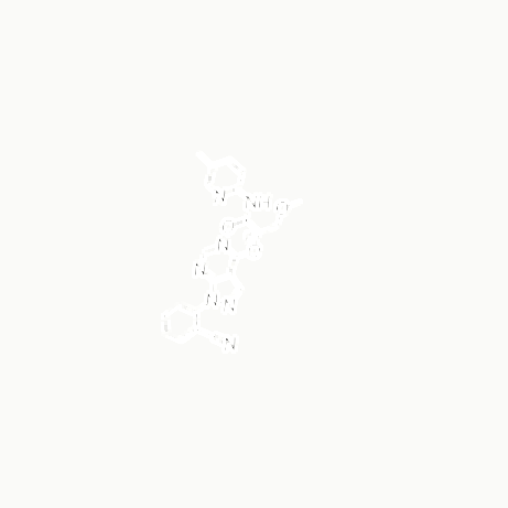 COC[C@H](Oc1ncnc2c1cnn2-c1ccccc1C#N)C(=O)Nc1ccc(C)cn1